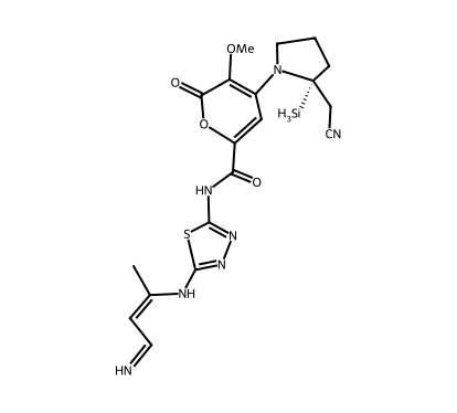 COc1c(N2CCC[C@@]2([SiH3])CC#N)cc(C(=O)Nc2nnc(N/C(C)=C\C=N)s2)oc1=O